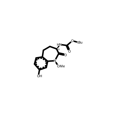 CON1C(=O)[C@H](NC(=O)OC(C)(C)C)CCc2ccc(O)cc21